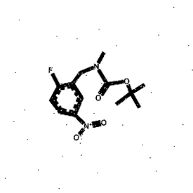 CN(Cc1cc([N+](=O)[O-])ccc1F)C(=O)OC(C)(C)C